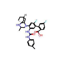 Cc1ccc(NC(=O)Nc2cc(-c3cc(F)ccc3C(=O)O)c(F)cc2N2CC(C)N[C@]34CC[C@H](CC23)C4)cc1